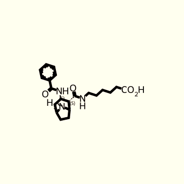 CN1C2CCC1[C@@H](C(=O)NCCCCCC(=O)O)[C@@H](NC(=O)c1ccccc1)C2